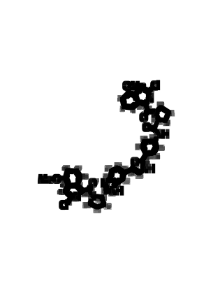 COc1cccc2c(C(=O)N3CCC[C@H]3C(=O)Nc3ccc(C4NC=C(c5ccc6nc([C@@H]7CCCN7C(=O)c7nc(Cl)cc8c(OC)cccc78)[nH]c6c5)O4)cc3)nc(Cl)cc12